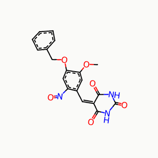 COc1cc(C=C2C(=O)NC(=O)NC2=O)c(N=O)cc1OCc1ccccc1